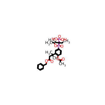 CCOP(=O)(c1ccc(OC(C)=O)c(C(C)(C)CC(=O)OCc2ccccc2)c1)C(CC)(CC)P(=O)(O)O